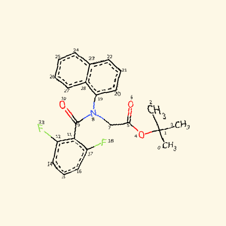 CC(C)(C)OC(=O)CN(C(=O)c1c(F)cccc1F)c1cccc2ccccc12